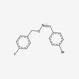 Fc1ccc(CO/N=[C]\c2ccc(Br)cc2)cc1